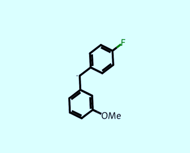 COc1cccc([CH]c2ccc(F)cc2)c1